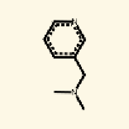 CN(C)Cc1cc[c]nc1